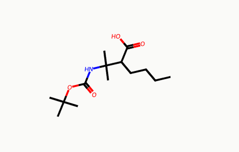 CCCCC(C(=O)O)C(C)(C)NC(=O)OC(C)(C)C